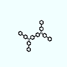 C1=CC(C2=CC=C(N(C3=CCC(c4ccccc4)C=C3)c3ccc(C4=CCC(N(c5ccc(-c6ccccc6)cc5)c5ccc(-c6ccccc6)cc5)C=C4)cc3)CC2)=CCC1